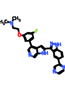 CN(C)CCOc1cc(F)cc(-c2cncc3[nH]c(-c4n[nH]c5ccc(-c6cnccn6)cc45)cc23)c1